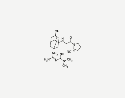 CN(C)C(=N)N=C(N)N.N#C[C@H]1CCCN1C(=O)CNC12CC3CC(CC(O)(C3)C1)C2